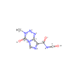 Cn1nnc2c(C(=O)N=C=O)ncn2c1=O